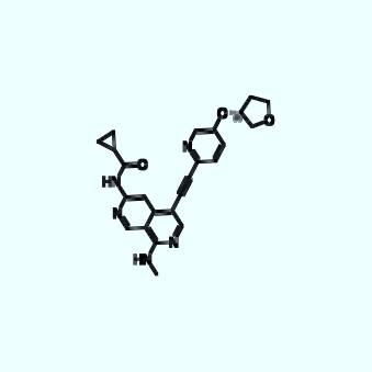 CNc1ncc(C#Cc2ccc(O[C@@H]3CCOC3)cn2)c2cc(NC(=O)C3CC3)ncc12